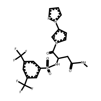 CNC(=O)CC(NS(=O)(=O)c1cc(C(F)(F)F)cc(C(F)(F)F)c1)C(=O)n1ccc(-n2cccn2)c1